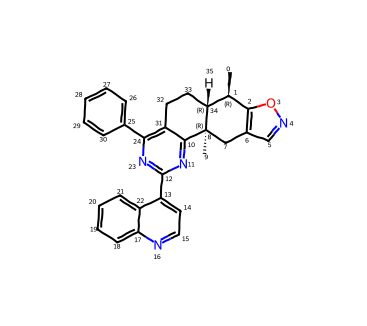 C[C@H]1c2oncc2C[C@@]2(C)c3nc(-c4ccnc5ccccc45)nc(-c4ccccc4)c3CC[C@H]12